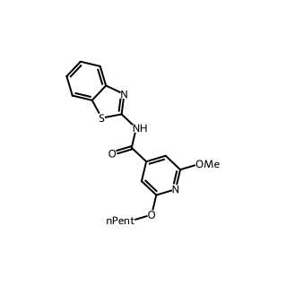 CCCCCOc1cc(C(=O)Nc2nc3ccccc3s2)cc(OC)n1